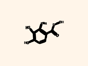 CCCCc1c(C(=O)OO)ccc(O)c1O